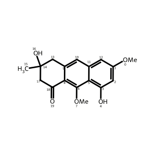 COc1cc(O)c2c(OC)c3c(cc2c1)CC(C)(O)CC3=O